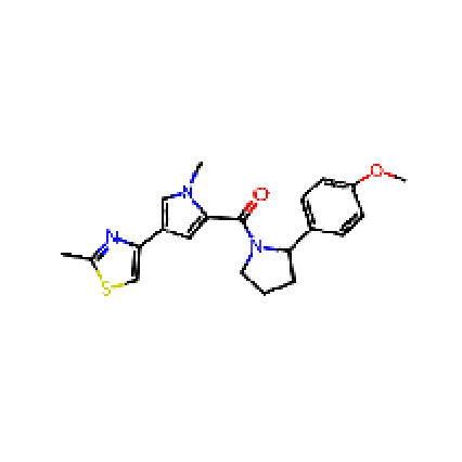 COc1ccc(C2CCCN2C(=O)c2cc(-c3csc(C)n3)cn2C)cc1